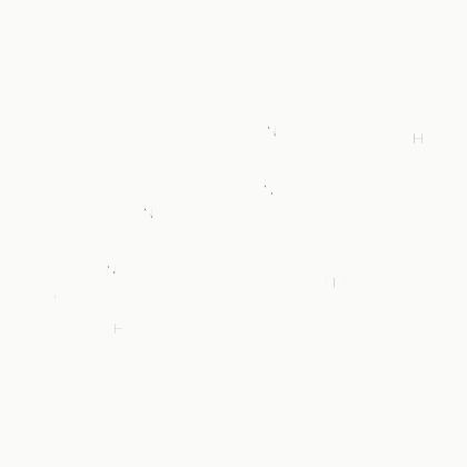 COc1cc(OC)c2cnc(-c3cccc(N4CCN(C(C)C)CC4)c3)nc2c1